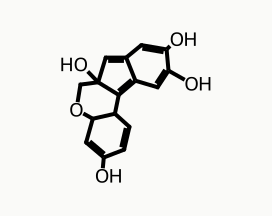 OC1=CC2OCC3(O)C=c4cc(O)c(O)cc4=C3C2C=C1